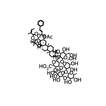 C/C=C(/C)C(=O)O[C@H]1C(OC(=O)/C=C/c2ccccc2)C23[C@H](O)O[C@@]4(CCC5[C@@]6(C)CC[C@H](O[C@@H]7O[C@H](C(=O)O)[C@@H](O)[C@H](O[C@@H]8O[C@H](CO)[C@H](O)[C@H](O)C8O[C@@H]8O[C@@H](C)[C@H](O)[C@@H](O)[C@H]8O[C@@H]8OC[C@](O)(CO)[C@H]8O)[C@H]7OC7O[C@H](CO)[C@H](O)[C@H](O)[C@H]7O)C(C)(C)C6CC[C@@]5(C)[C@]4(C)C[C@H]2OC(C)=O)[C@@H]3CC1(C)C